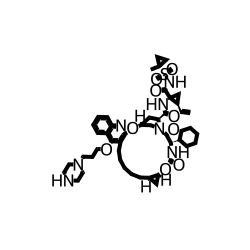 C=C[C@@H]1C[C@]1(NC(=O)[C@@H]1C[C@@H]2CN1C(=O)[C@H](C1CCCCC1)NC(=O)O[C@@H]1C[C@H]1CCCCCc1c(nc3ccccc3c1OCCCN1CCNCC1)O2)C(=O)NS(=O)(=O)C1(C)CC1